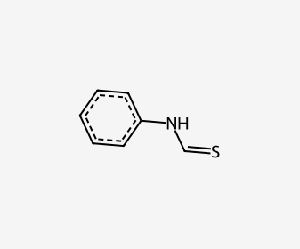 S=CNc1ccccc1